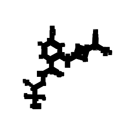 CC(C)(O)[C@H](F)CNC(=O)c1cnc(Cl)cc1NC12CC(C(N)=O)(C1)C2